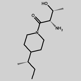 CC[C@H](C)C1CCN(C(=O)[C@@H](N)[C@@H](C)O)CC1